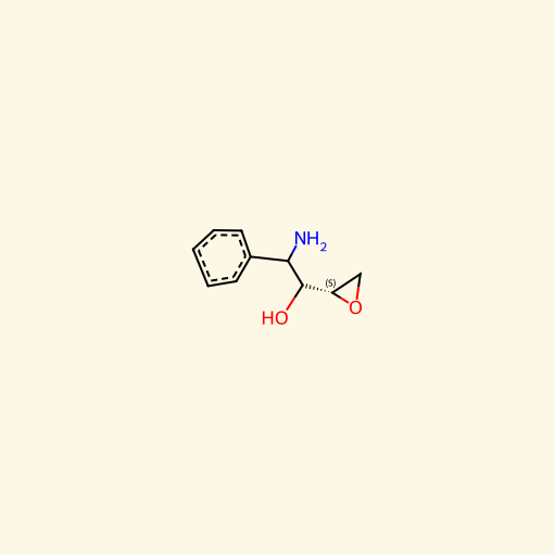 NC(c1ccccc1)C(O)[C@@H]1CO1